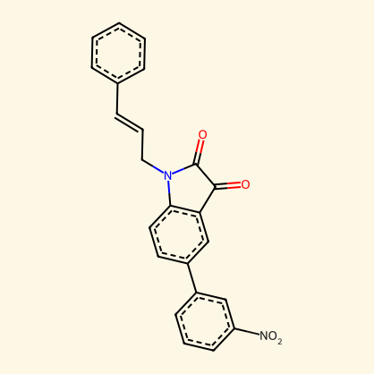 O=C1C(=O)N(C/C=C/c2ccccc2)c2ccc(-c3cccc([N+](=O)[O-])c3)cc21